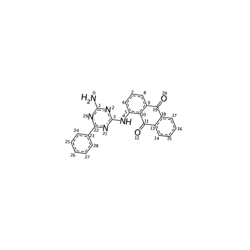 Nc1nc(Nc2cccc3c2C(=O)c2ccccc2C3=O)nc(-c2ccccc2)n1